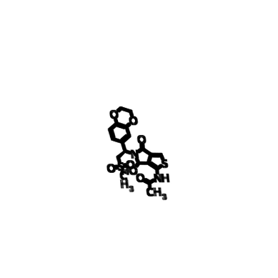 CC(=O)Nc1scc2c1C(O)N([C@@H](CS(C)(=O)=O)c1ccc3c(c1)OCCO3)C2=O